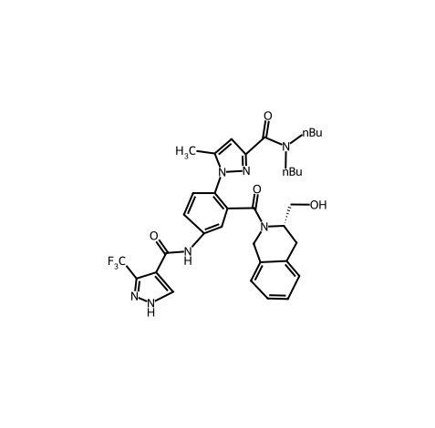 CCCCN(CCCC)C(=O)c1cc(C)n(-c2ccc(NC(=O)c3c[nH]nc3C(F)(F)F)cc2C(=O)N2Cc3ccccc3C[C@H]2CO)n1